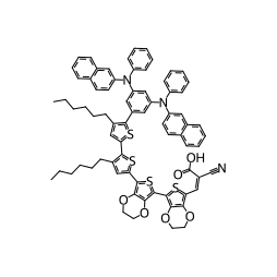 CCCCCCc1cc(-c2sc(-c3sc(-c4sc(/C=C(/C#N)C(=O)O)c5c4OCCO5)c4c3OCCO4)cc2CCCCCC)sc1-c1cc(N(c2ccccc2)c2ccc3ccccc3c2)cc(N(c2ccccc2)c2ccc3ccccc3c2)c1